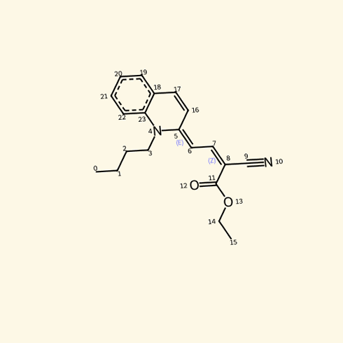 CCCCN1/C(=C/C=C(/C#N)C(=O)OCC)C=Cc2ccccc21